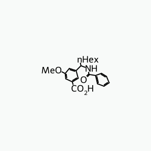 CCCCCCC(NC(=O)c1ccccc1)c1cc(OC)cc(C(=O)O)c1